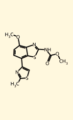 COC(=O)Nc1nc2c(OC)ccc(-c3csc(C)n3)c2s1